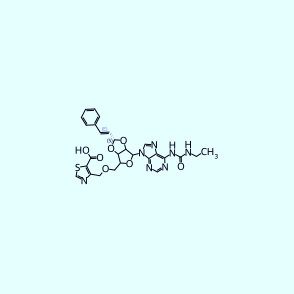 CCNC(=O)Nc1ncnc2c1ncn2C1OC(COCc2ncsc2C(=O)O)C2O[C@H](/C=C/c3ccccc3)OC21